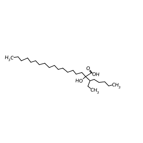 CCCCCCCCCCCCCCCCC(O)(C(=O)O)C(CC)CCCCC